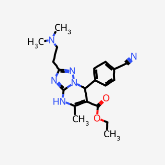 CCOC(=O)C1=C(C)Nc2nc(CCN(C)C)nn2C1c1ccc(C#N)cc1